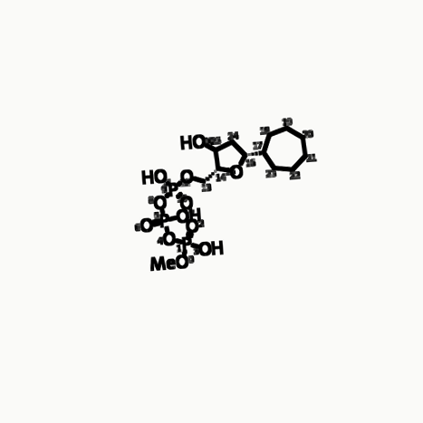 COP(=O)(O)OP(=O)(O)OP(=O)(O)OC[C@H]1O[C@@H](C2CCCCCC2)CC1O